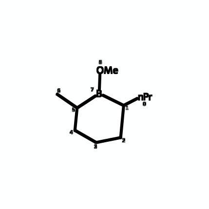 CCCC1CCCC(C)B1OC